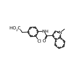 Cn1cc(C(=O)Nc2ccc(CC(=O)O)cc2Cl)c2ccccc21